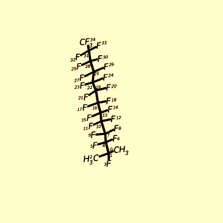 CC(C)(F)C(F)(F)C(F)(F)C(F)(F)C(F)(F)C(F)(F)C(F)(F)C(F)(F)C(F)(F)C(F)(F)C(F)(F)C(F)(F)F